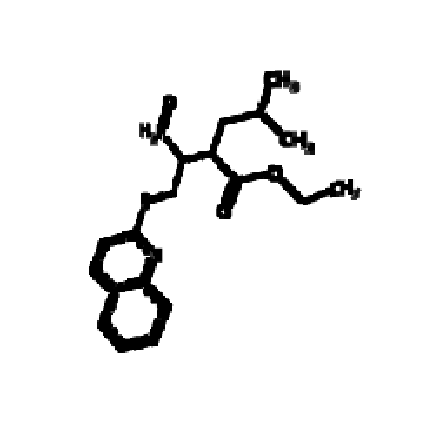 CCOC(=O)C(CC(C)C)C(CSc1ccc2ccccc2n1)[PH2]=O